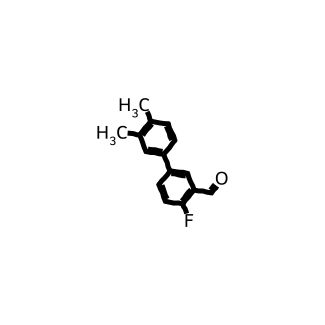 Cc1ccc(-c2ccc(F)c(C=O)c2)cc1C